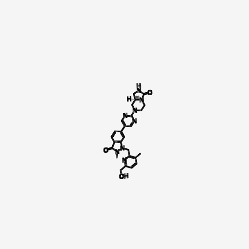 Cc1ccc(CO)nc1Cn1c2cc(-c3cnc(N4CCN5C(=O)NC[C@@H]5C4)nc3)ccc2c(=O)n1C